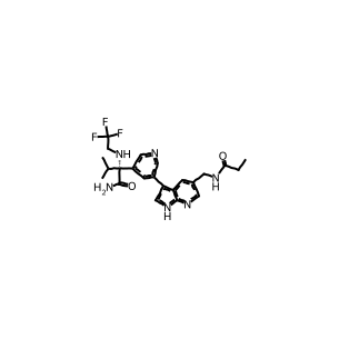 CCC(=O)NCc1cnc2[nH]cc(-c3cncc([C@@](NCC(F)(F)F)(C(N)=O)C(C)C)c3)c2c1